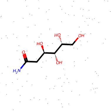 NC(=O)C[C@@H](O)[C@@H](O)[C@H](O)CO